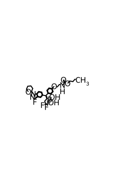 CCCCOC(=O)NCCOc1ccc(C(=C(CC(F)(F)F)B(O)O)c2ccc3c(c2)c(F)nn3C2CCCCO2)cc1